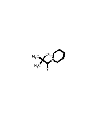 CC(C)(C)C(F)N1CCCCC1